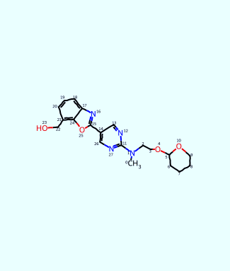 CN(CCOC1CCCCO1)c1ncc(-c2nc3cccc(CO)c3o2)cn1